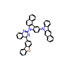 c1ccc2cc3c(cc2c1)c1ccccc1n3-c1ccc2c(c1)c1c3ccccc3ccc1n2-c1nc(-c2ccc3sc4ccccc4c3c2)c2ccccc2n1